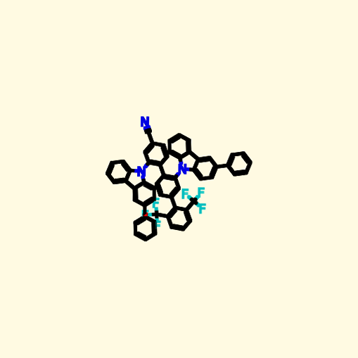 N#Cc1ccc(-c2ccc(-c3c(C(F)(F)F)cccc3C(F)(F)F)cc2-n2c3ccccc3c3cc(-c4ccccc4)ccc32)c(-n2c3ccccc3c3cc(-c4ccccc4)ccc32)c1